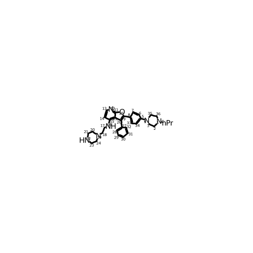 CCCN1CCN(c2ccc(-c3oc4nccc(NCCN5CCNCC5)c4c3-c3ccccc3)cc2)CC1